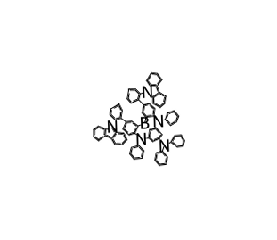 c1ccc(N(c2ccccc2)c2cc3c4c(c2)N(c2ccccc2)c2ccc(-c5ccccc5-n5c6ccccc6c6ccccc65)cc2B4c2cc(-c4ccccc4-n4c5ccccc5c5ccccc54)ccc2N3c2ccccc2)cc1